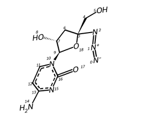 [N-]=[N+]=N[C@@]1(CO)C[C@@H](O)[C@H](n2ccc(N)nc2=O)O1